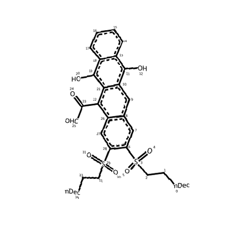 CCCCCCCCCCCCS(=O)(=O)c1cc2cc3c(O)c4ccccc4c(O)c3c(C(=O)C=O)c2cc1S(=O)(=O)CCCCCCCCCCCC